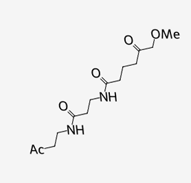 COCC(=O)CCCC(=O)NCCC(=O)NCCC(C)=O